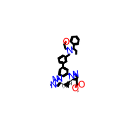 CCC1c2ccccc2OCCN1Cc1cccc(-c2cccc(-n3ncc(C(=O)OC)c3[C@H]3C[C@@H]3c3cn(C)nn3)c2)c1